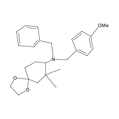 COc1ccc(CN(Cc2ccccc2)C2CCC3(CC2(C)C)OCCO3)cc1